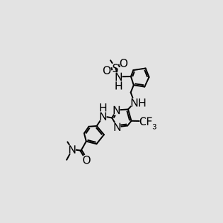 CN(C)C(=O)c1ccc(Nc2ncc(C(F)(F)F)c(NCc3ccccc3NS(C)(=O)=O)n2)cc1